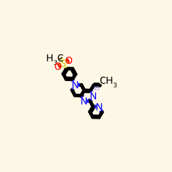 C/C=C/c1nc(-c2ccccn2)nc2c1CN(c1ccc(S(C)(=O)=O)cc1)CC2